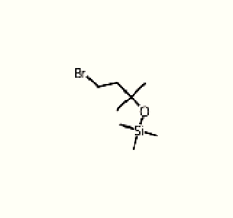 CC(C)(CCBr)O[Si](C)(C)C